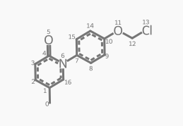 Cc1ccc(=O)n(-c2ccc(OCCl)cc2)c1